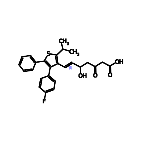 CC(C)c1sc(-c2ccccc2)c(-c2ccc(F)cc2)c1/C=C/C(O)CC(=O)CC(=O)O